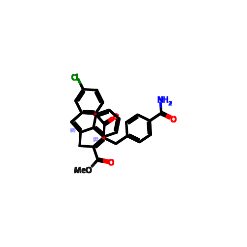 COC(=O)/C1=C(\Cc2ccc(C(N)=O)cc2)C(=O)c2ccc(Cl)cc2/C=C(\c2ccccc2)C1